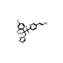 CC(=O)/C=C/c1ccc(C(F)(F)C(O)(Cn2cnnn2)c2ccc(F)cc2F)nc1